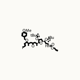 C=CCOC(=O)NCCC(O[Si](C)(C)C(C)(C)C)[C@@H]1C[C@H](O[Si](C)(C)C(C)(C)C)[C@H](C(C)CC(=O)CC(C)C(/C=C/I)OCc2ccc(OC)cc2)O1